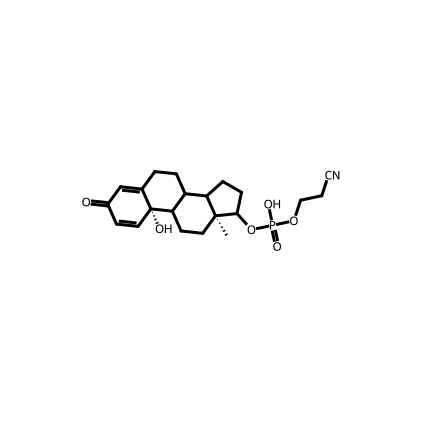 C[C@]12CCC3C(CCC4=CC(=O)C=C[C@@]43O)C1CCC2OP(=O)(O)OCCC#N